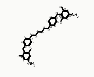 Cc1cc(N)cc(C)c1Cc1ccc(CCCCCCc2ccc(Cc3c(C)cc(N)cc3C)cc2)cc1